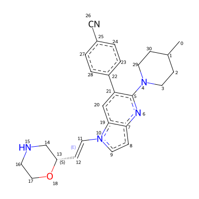 CC1CCN(c2nc3ccn(/C=C/[C@H]4CNCCO4)c3cc2-c2ccc(C#N)cc2)CC1